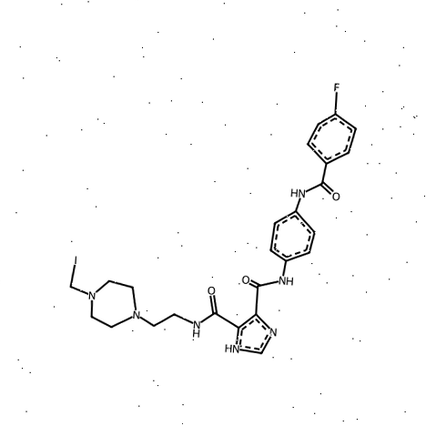 O=C(Nc1ccc(NC(=O)c2nc[nH]c2C(=O)NCCN2CCN(CI)CC2)cc1)c1ccc(F)cc1